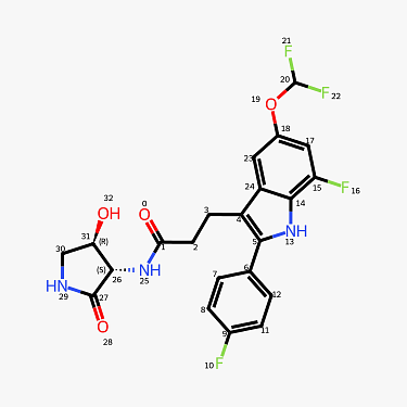 O=C(CCc1c(-c2ccc(F)cc2)[nH]c2c(F)cc(OC(F)F)cc12)N[C@@H]1C(=O)NC[C@H]1O